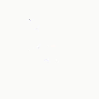 C=C(C)CC1CCC2NC(c3cn(C4CC4)c4c(c3=O)=CC(F)C(N3CCNCC3)C=4)=CB2C1